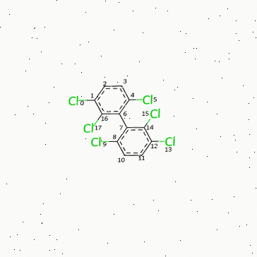 Clc1ccc(Cl)c(-c2c(Cl)ccc(Cl)c2Cl)c1Cl